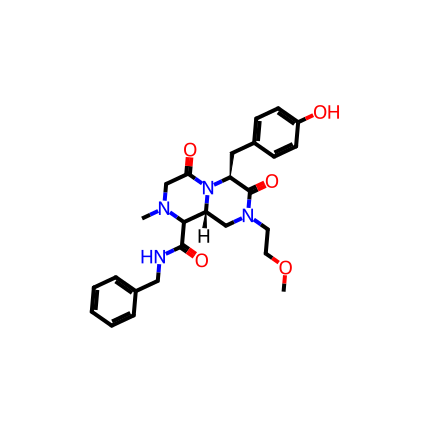 COCCN1C[C@@H]2C(C(=O)NCc3ccccc3)N(C)CC(=O)N2[C@@H](Cc2ccc(O)cc2)C1=O